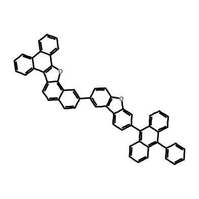 c1ccc(-c2c3ccccc3c(-c3ccc4c(c3)oc3ccc(-c5ccc6ccc7c(oc8c9ccccc9c9ccccc9c78)c6c5)cc34)c3ccccc23)cc1